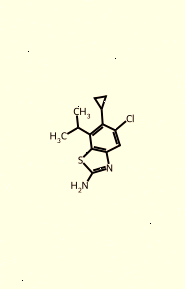 CC(C)c1c(C2CC2)c(Cl)cc2nc(N)sc12